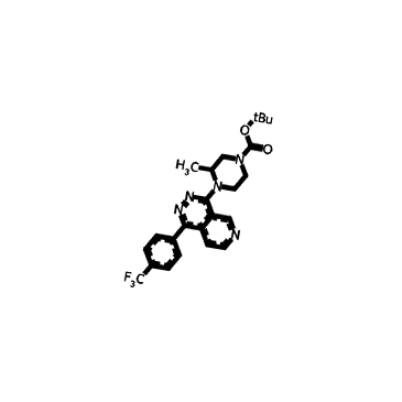 CC1CN(C(=O)OC(C)(C)C)CCN1c1nnc(-c2ccc(C(F)(F)F)cc2)c2ccncc12